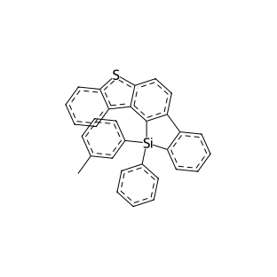 Cc1cccc([Si]2(c3ccccc3)c3ccccc3-c3ccc4sc5ccccc5c4c32)c1